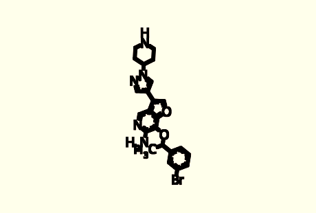 CC(Oc1c(N)ncc2c(-c3cnn(C4CCNCC4)c3)coc12)c1cccc(Br)c1